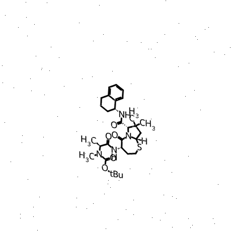 C[C@@H](C(=O)N[C@H]1CCS[C@H]2CC(C)(C)[C@@H](C(=O)N[C@@H]3CCCc4ccccc43)N2C1=O)N(C)C(=O)OC(C)(C)C